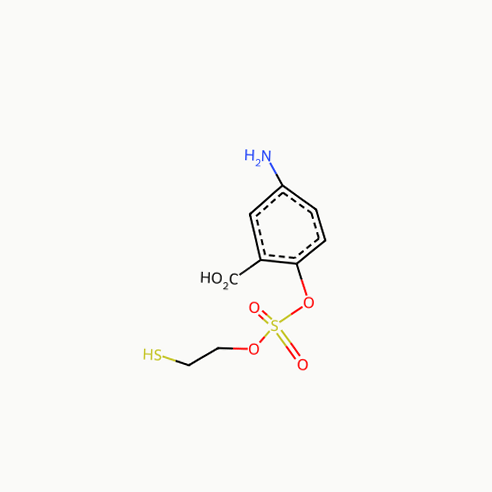 Nc1ccc(OS(=O)(=O)OCCS)c(C(=O)O)c1